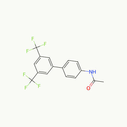 CC(=O)Nc1ccc(-c2cc(C(F)(F)F)cc(C(F)(F)F)c2)cc1